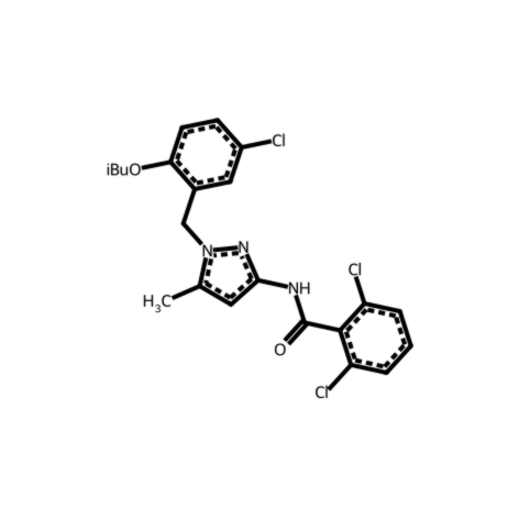 Cc1cc(NC(=O)c2c(Cl)cccc2Cl)nn1Cc1cc(Cl)ccc1OCC(C)C